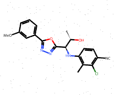 [C-]#[N+]c1ccc(N[C@@H](c2nnc(-c3cccc(OC)c3)o2)[C@H](C)O)c(C)c1Cl